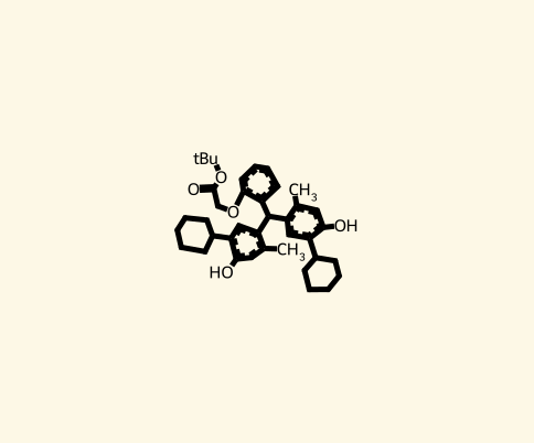 Cc1cc(O)c(C2CCCCC2)cc1C(c1cc(C2CCCCC2)c(O)cc1C)c1ccccc1OCC(=O)OC(C)(C)C